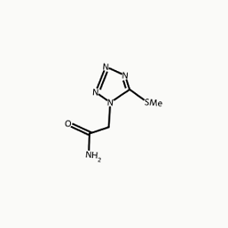 CSc1nnnn1CC(N)=O